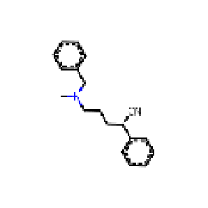 CN(CCC[C@@H](C#N)c1ccccc1)Cc1ccccc1